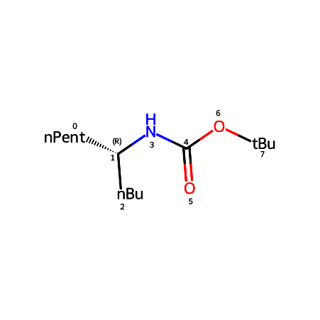 [CH2]CCCC[C@@H](CCCC)NC(=O)OC(C)(C)C